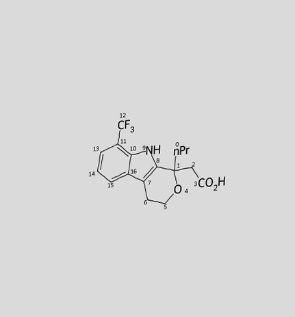 CCCC1(CC(=O)O)OCCc2c1[nH]c1c(C(F)(F)F)cccc21